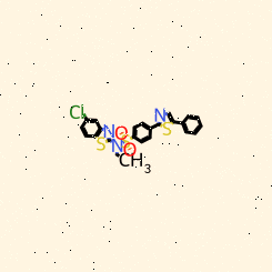 CCN(c1nc2cc(Cl)ccc2s1)S(=O)(=O)c1ccc(-c2ncc(-c3ccccc3)s2)cc1